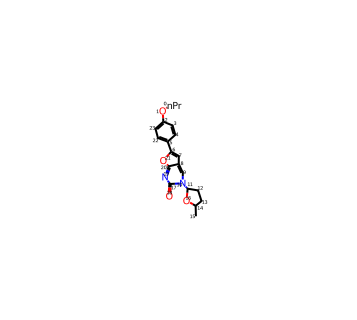 CCCOc1ccc(-c2cc3cn([C@H]4CCC(C)O4)c(=O)nc3o2)cc1